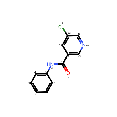 O=C(Nc1ccccc1)c1cncc(Cl)c1